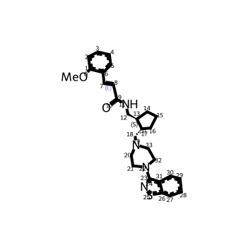 COc1ccccc1/C=C/C(=O)NC[C@H]1CCC[C@@H]1CN1CCN(c2nsc3ccccc23)CC1